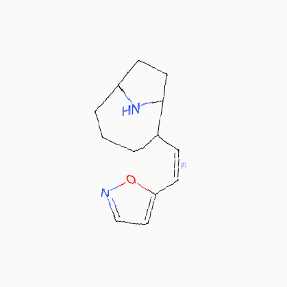 C(=C/C1CCCC2CCC1N2)/c1ccno1